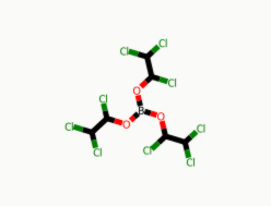 ClC(Cl)C(Cl)OB(OC(Cl)C(Cl)Cl)OC(Cl)C(Cl)Cl